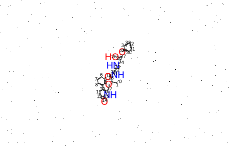 CCC(Oc1ccccc1-c1ccc(=O)[nH]c1C)C(=O)NCCNCC(O)COc1ccccc1